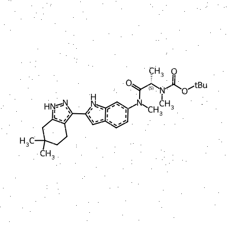 C[C@@H](C(=O)N(C)c1ccc2cc(-c3n[nH]c4c3CCC(C)(C)C4)[nH]c2c1)N(C)C(=O)OC(C)(C)C